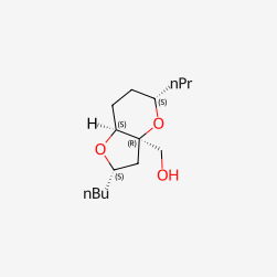 CCCC[C@H]1C[C@]2(CO)O[C@@H](CCC)CC[C@@H]2O1